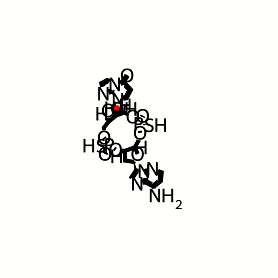 Nc1ccnn2c([C@H]3C[C@@H]4O[P@@](=O)(S)OC[C@H]5O[C@@H](n6ccc(=O)n7ccnc67)[C@H](O[P@](=O)(S)OC[C@H]4O3)[C@@H]5O)cnc12